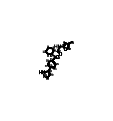 Cc1cc(NC(=O)[C@H]2CCCC[C@@H]2C(=O)c2ccc(-c3ccn[nH]3)cc2)on1